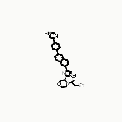 CC(C)CC(=O)N1CCOC[C@H]1c1nc(-c2ccc3cc(-c4ccc(-c5c[nH]cn5)cc4)ccc3c2)c[nH]1